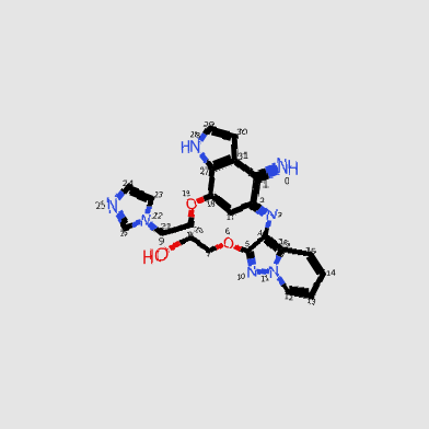 N=C1C(=Nc2c(OCCO)nn3ccccc23)C=C(OCCn2ccnc2)c2[nH]ccc21